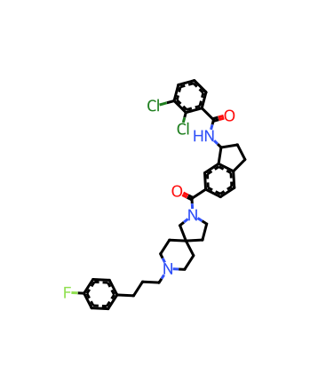 O=C(NC1CCc2ccc(C(=O)N3CCC4(CCN(CCCc5ccc(F)cc5)CC4)C3)cc21)c1cccc(Cl)c1Cl